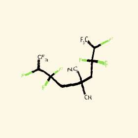 N#CC(C#N)(CC(F)(F)C(F)C(F)(F)F)CC(F)(F)C(F)C(F)(F)F